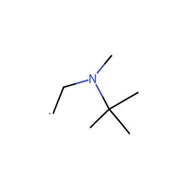 [CH2]CN(C)C(C)(C)C